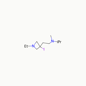 CCN1CC(I)(CCN(C)C(C)C)C1